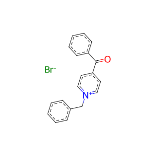 O=C(c1ccccc1)c1cc[n+](Cc2ccccc2)cc1.[Br-]